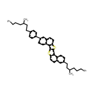 CC(C)CCCC(C)CCc1ccc(-c2ccc3c(ccc4sc5c(sc6ccc7cc(CCC(C)CCCC(C)C)ccc7c65)c43)c2)cc1